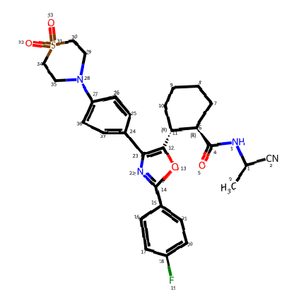 CC(C#N)NC(=O)[C@@H]1CCCC[C@H]1c1oc(-c2ccc(F)cc2)nc1-c1ccc(N2CCS(=O)(=O)CC2)cc1